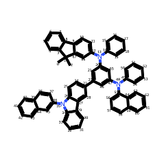 CC1(C)c2ccccc2-c2ccc(N(c3ccccc3)c3cc(-c4ccc5c(c4)c4ccccc4n5-c4ccc5ccccc5c4)cc(N(c4ccccc4)c4cccc5ccccc45)c3)cc21